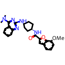 COc1cccc2cc(C(=O)N[C@H]3CC[C@@H](Nc4nc(N(C)C)c5ccccc5n4)CC3)oc12